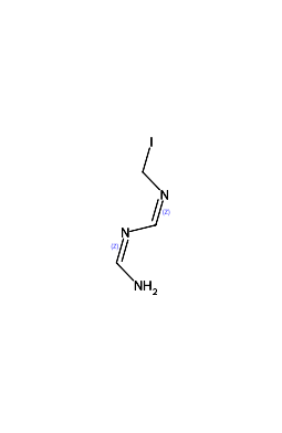 N/C=N\C=N/CI